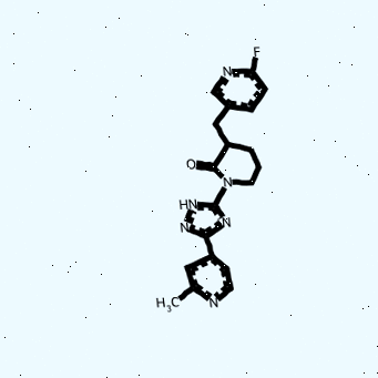 Cc1cc(-c2n[nH]c(N3CCCC(Cc4ccc(F)nc4)C3=O)n2)ccn1